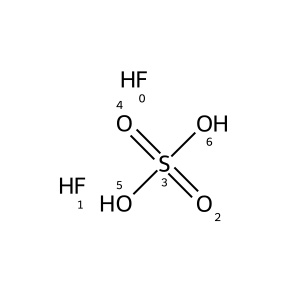 F.F.O=S(=O)(O)O